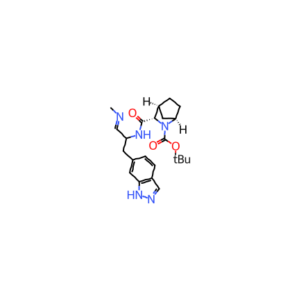 C/N=C/C(Cc1ccc2cn[nH]c2c1)NC(=O)[C@@H]1[C@H]2CC[C@H](C2)N1C(=O)OC(C)(C)C